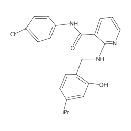 CC(C)c1ccc(CNc2ncccc2C(=O)Nc2ccc(Cl)cc2)c(O)c1